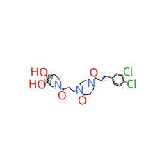 O=C(/C=C/c1ccc(Cl)c(Cl)c1)N1CCC(=O)N(CCC(=O)N2CC[C@H](O)[C@H](O)C2)CC1